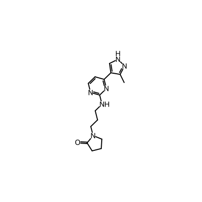 Cc1n[nH]cc1-c1ccnc(NCCCN2CCCC2=O)n1